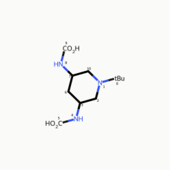 CC(C)(C)N1CC(NC(=O)O)CC(NC(=O)O)C1